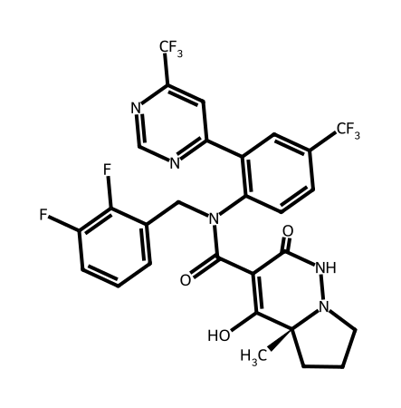 C[C@]12CCCN1NC(=O)C(C(=O)N(Cc1cccc(F)c1F)c1ccc(C(F)(F)F)cc1-c1cc(C(F)(F)F)ncn1)=C2O